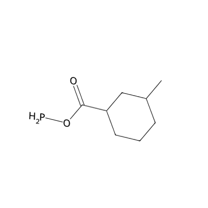 CC1CCCC(C(=O)OP)C1